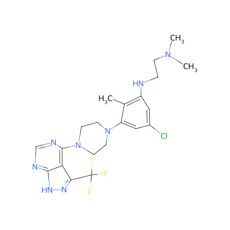 Cc1c(NCCN(C)C)cc(Cl)cc1N1CCN(c2ncnc3[nH]nc(C(F)(F)F)c23)CC1